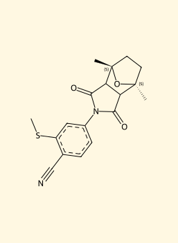 CSc1cc(N2C(=O)C3C(C2=O)[C@]2(C)CC[C@]3(C)O2)ccc1C#N